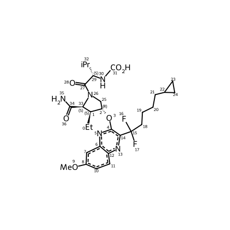 CC[C@@H]1[C@@H](Oc2nc3cc(OC)ccc3nc2C(F)(F)CCCCC2CC2)CN(C(=O)[C@@H](NC(=O)O)C(C)C)[C@@H]1C(N)=O